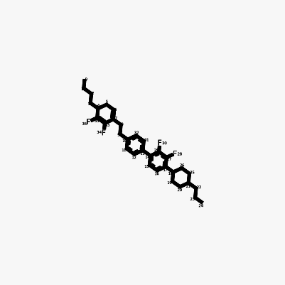 CCCCC1CC=C(CCc2ccc(-c3ccc(C4CCC(CCC)CC4)c(F)c3F)cc2)C(F)=C1F